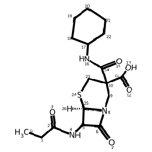 CCC(=O)NC1C(=O)N2CC(C(=O)O)(C(=O)NC3CCCCC3)CS[C@H]12